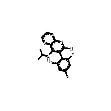 CC(C)Nc1c(-c2c(F)cc(F)cc2F)c(Cl)nc2nccnc12